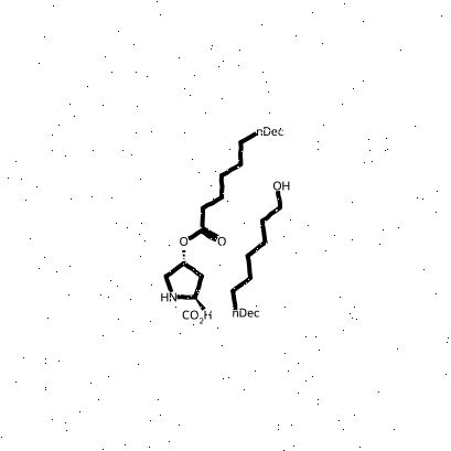 CCCCCCCCCCCCCCCC(=O)O[C@H]1CN[C@H](C(=O)O)C1.CCCCCCCCCCCCCCCCO